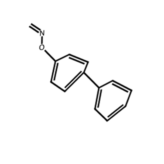 C=NOc1ccc(-c2ccccc2)cc1